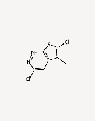 Cc1c(Cl)sc2nnc(Cl)cc12